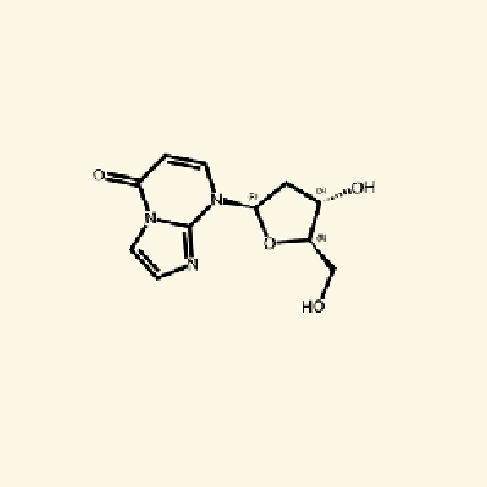 O=c1ccn([C@H]2C[C@H](O)[C@@H](CO)O2)c2nccn12